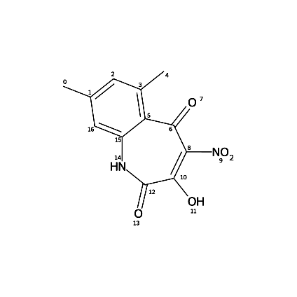 Cc1cc(C)c2c(=O)c([N+](=O)[O-])c(O)c(=O)[nH]c2c1